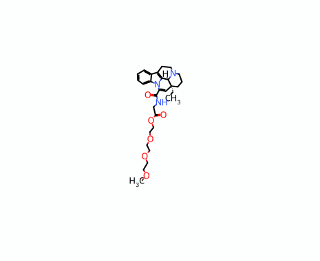 CC[C@@]12C=C(C(=O)NCC(=O)OCCOCCOCCOC)n3c4c(c5ccccc53)CCN(CCC1)[C@H]42